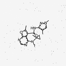 Cc1cn(C)nc1NC(=O)c1c(C)oc2ncnc(N(I)C3(C)CC3)c12